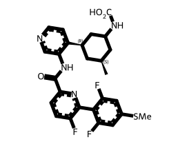 CSc1cc(F)c(-c2nc(C(=O)Nc3cnccc3[C@H]3CC(NC(=O)O)C[C@@H](C)C3)ccc2F)c(F)c1